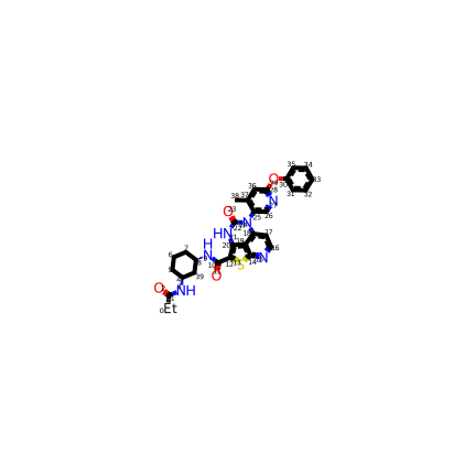 CCC(=O)N[C@H]1CCC[C@H](NC(=O)c2sc3nccc4c3c2NC(=O)N4c2cnc(Oc3ccccc3)cc2C)C1